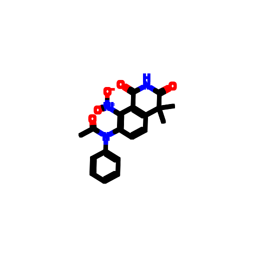 CC(=O)N(c1ccccc1)c1ccc2c(c1[N+](=O)[O-])C(=O)NC(=O)C2(C)C